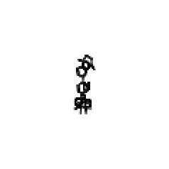 CC12CCC(C)(O1)c1cc(-c3ccc(B4OC(C)(C)C(C)(C)O4)cn3)ccc12